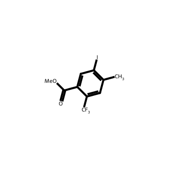 COC(=O)c1cc(I)c(C)cc1C(F)(F)F